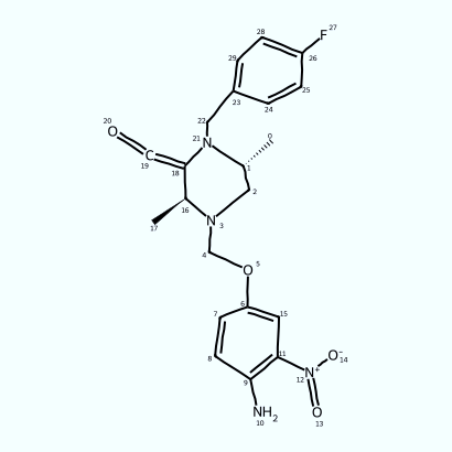 C[C@@H]1CN(COc2ccc(N)c([N+](=O)[O-])c2)[C@@H](C)C(=C=O)N1Cc1ccc(F)cc1